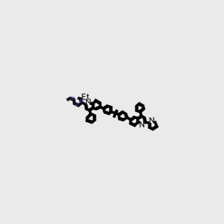 C\C=C/C=C\C(=C(/C)CC)c1cc(-c2ccccc2)c2cc(-c3ccc(C(C)(C)c4ccc(-c5ccc6nc(-c7ccccn7)cc(-c7ccccc7)c6c5)cc4)cc3)ccc2n1